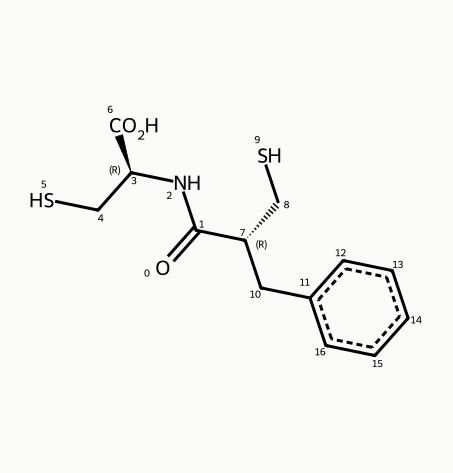 O=C(N[C@@H](CS)C(=O)O)[C@H](CS)Cc1ccccc1